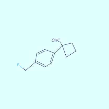 O=CC1(c2ccc(CF)cc2)CCC1